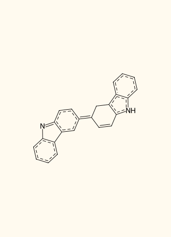 C1=Cc2[nH]c3ccccc3c2CC1=c1ccc2c(c1)-c1ccccc1N=2